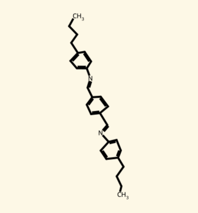 CCCCc1ccc(N=Cc2ccc(C=Nc3ccc(CCCC)cc3)cc2)cc1